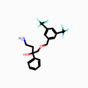 NCCC(O)(COCc1cc(C(F)(F)F)cc(C(F)(F)F)c1)c1ccccc1